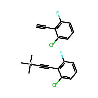 C#Cc1c(F)cccc1Cl.C[Si](C)(C)C#Cc1c(F)cccc1Cl